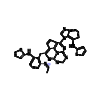 C/C=N\c1cccc(Nc2cccs2)c1Cc1nc2ncnc3nc(-n4cnc5cccc(Nc6cccs6)c54)c4ccc1c4n23